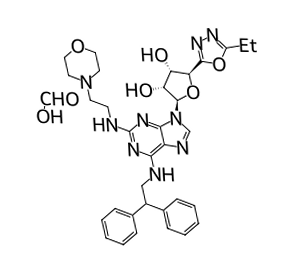 CCc1nnc([C@H]2O[C@@H](n3cnc4c(NCC(c5ccccc5)c5ccccc5)nc(NCCN5CCOCC5)nc43)[C@H](O)[C@@H]2O)o1.O=CO